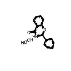 Cl.Cl.O=c1[nH]c(-c2ccccc2)nc2ccccc12